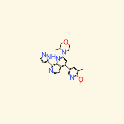 COc1ncc(-c2cc(N3CCOCC3C)nc3c(-c4ccn[nH]4)nccc23)cc1C